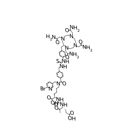 CC(=O)[C@@H](CCC(=O)O)NC(=O)N[C@H](CCCCN(Cc1ccc(Br)nc1)C(=O)c1ccc(CNC(=S)Nc2ccc(CC3CN(CC(N)=O)CCN(CC(N)=O)CCN(CC(N)=O)CCN3CC(N)=O)cc2)cc1)C(=O)O